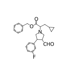 O=CC1CN(C(CC2CC2)C(=O)OCc2ccccc2)CC1c1cccc(F)c1